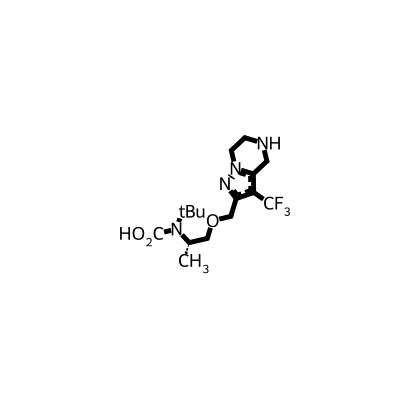 C[C@@H](COCc1nn2c(c1C(F)(F)F)CNCC2)N(C(=O)O)C(C)(C)C